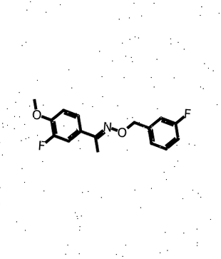 COc1ccc(C(C)=NOCc2cccc(F)c2)cc1F